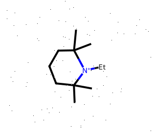 CC[N+]1C(C)(C)CCCC1(C)C